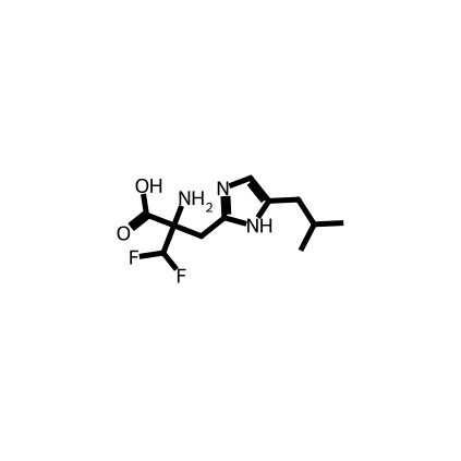 CC(C)Cc1cnc(CC(N)(C(=O)O)C(F)F)[nH]1